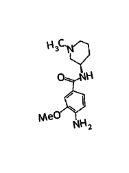 COc1cc(C(=O)N[C@@H]2CCCN(C)C2)ccc1N